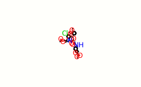 COC(=O)c1cc2cc(NC(=O)C[C@H]3O[C@H](c4cccc(OC)c4OC)c4cc(Cl)ccc4N(CC(C)(C)COC(C)=O)C3=O)ccc2o1